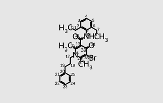 CCc1cccc(CC)c1NC(=O)c1c(C)n(CCCc2ccccc2)c(C)c(Br)c1=O